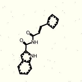 O=C(C=Cc1ccccc1)NC(=O)c1cc2ccccc2[nH]1